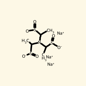 CC(N(C(C)S(=O)[O-])C(C)S(=O)[O-])S(=O)[O-].[Na+].[Na+].[Na+]